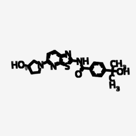 CC(C)(O)c1ccc(C(=O)Nc2nc3ccc(N4CC[C@@H](O)C4)nc3s2)cc1